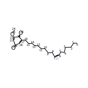 CCCCCC/C=C\CCCCCCCCCC1=CC(=O)C=C(OC)C1=O